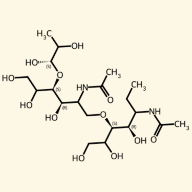 CCC(NC(C)=O)[C@@H](O)[C@H](OCC(NC(C)=O)[C@@H](O)[C@H](O[C@H](O)C(C)O)C(O)CO)C(O)CO